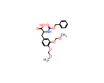 COCOc1ccc(CC(NC(=O)OCc2ccccc2)C(=O)O)cc1OCOC